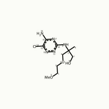 COCCOCC(C)(CO)Nc1nnc(Cl)c(N)n1